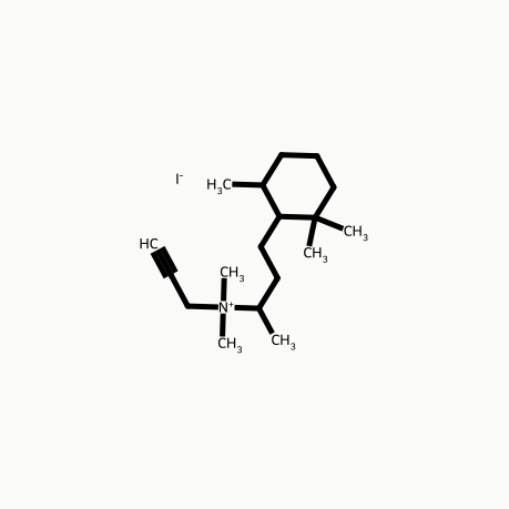 C#CC[N+](C)(C)C(C)CCC1C(C)CCCC1(C)C.[I-]